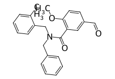 COc1ccc(C=O)cc1C(=O)N(Cc1ccccc1)Cc1ccccc1C